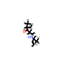 CC=CC(C)(NC(C)C(C)(C)C(=O)C(C)(CC)C(C)(C)C)C(C)(C)C